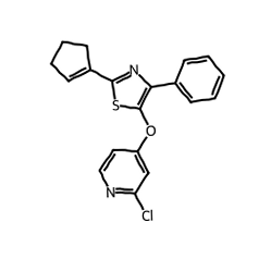 Clc1cc(Oc2sc(C3=CCCC3)nc2-c2ccccc2)ccn1